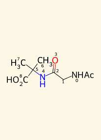 CC(=O)NCC(=O)NC(C)(C)C(=O)O